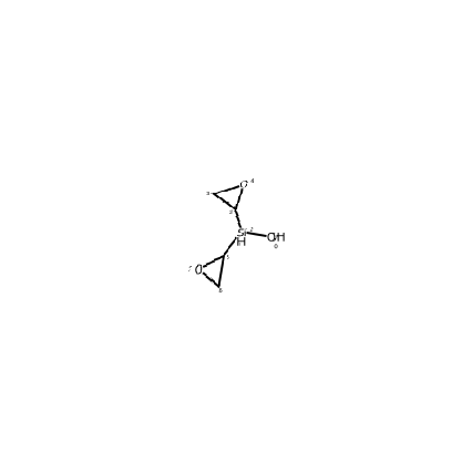 O[SiH](C1CO1)C1CO1